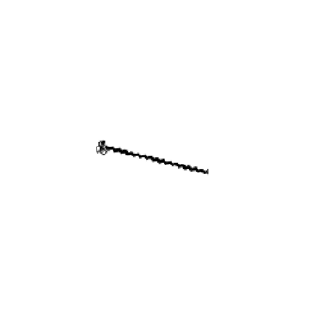 CO[Si](CCCCCCCCCCCCCCCCCCCCCCCCCCCCCCCCI)(OC)OC